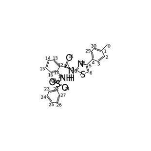 Cc1ccc(-c2csc(NC(=O)c3ccccc3NS(=O)(=O)c3ccccc3)n2)cc1